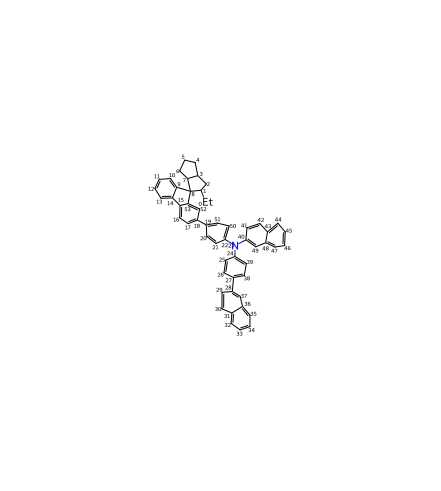 CCC1CC2CCCC2C12c1ccccc1-c1ccc(-c3ccc(N(c4ccc(-c5ccc6ccccc6c5)cc4)c4ccc5ccccc5c4)cc3)cc12